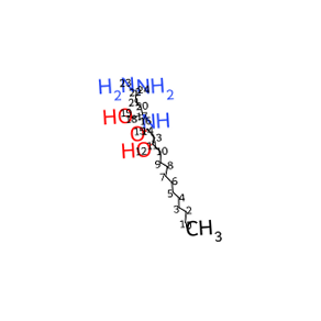 CCCCCCCCCCC[C@@H](O)CC(=O)N[C@@H](CO)CCC(N)N